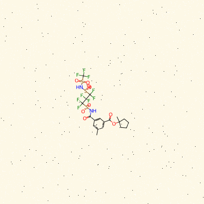 Cc1cc(C(=O)NS(=O)(=O)C(F)(F)C(F)(F)C(F)(F)S(=O)(=O)NS(=O)(=O)C(F)(F)F)cc(C(=O)OC2(C)CCCC2)c1